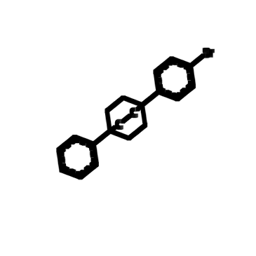 Brc1ccc(C23CCC(c4ccccc4)(CC2)CC3)cc1